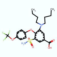 CCCCN(CCCC)c1cc(C(=O)O)cc(S(N)(=O)=O)c1Oc1ccc(OC(F)(F)F)cc1